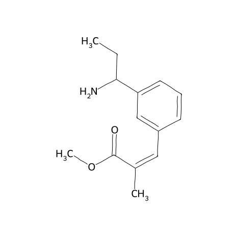 CCC(N)c1cccc(C=C(C)C(=O)OC)c1